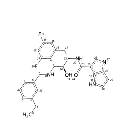 CCc1cccc(CNC[C@H](O)[C@H](Cc2cc(F)cc(F)c2)NC(=O)c2cnc3cc[nH]n23)c1